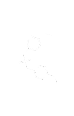 COc1ccc(CS(=O)(=O)Cc2ccc(OC)nc2)cn1